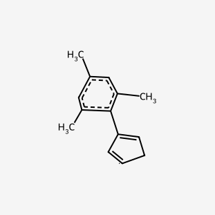 Cc1cc(C)c(C2=CC[C]=C2)c(C)c1